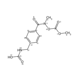 COC(=O)ON(C)C(=O)c1ccc(CNC(=O)O)cc1